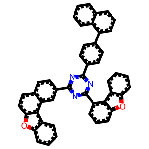 c1ccc2c(-c3ccc(-c4nc(-c5ccc6ccc7oc8ccccc8c7c6c5)nc(-c5cccc6oc7ccccc7c56)n4)cc3)cccc2c1